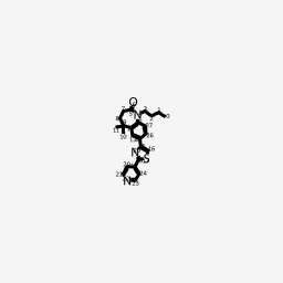 CCCCN1C(=O)CCC(C)(C)c2cc(-c3csc(-c4ccncc4)n3)ccc21